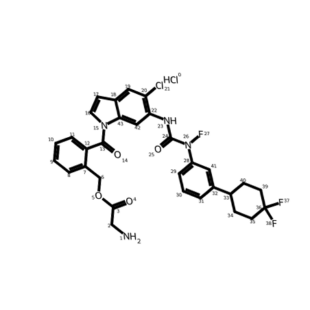 Cl.NCC(=O)OCc1ccccc1C(=O)n1ccc2cc(Cl)c(NC(=O)N(F)c3cccc(C4CCC(F)(F)CC4)c3)cc21